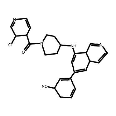 N#CC1C=C(C2=CC3C=CN=CC3C(NC3CCN(C(=O)C4C=CN=CC4Cl)CC3)=C2)C=CC1